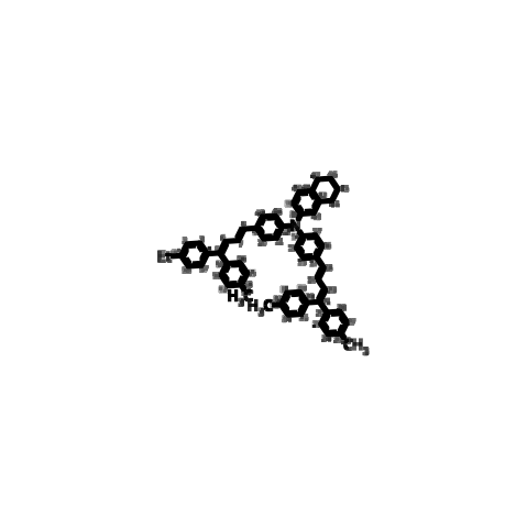 CCc1ccc(/C(=C/C=C/c2ccc(N(c3ccc(/C=C/C=C(c4ccc(C)cc4)c4ccc(C)cc4)cc3)c3ccc4c(c3)CCCC4)cc2)c2ccc(C)cc2)cc1